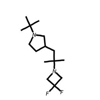 CC(C)(C)N1CCC(CC(C)(C)N2CC(F)(F)C2)C1